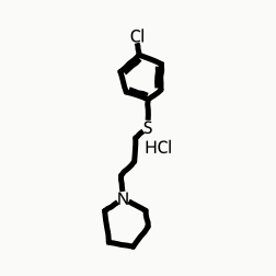 Cl.Clc1ccc(SCCCN2CCCCC2)cc1